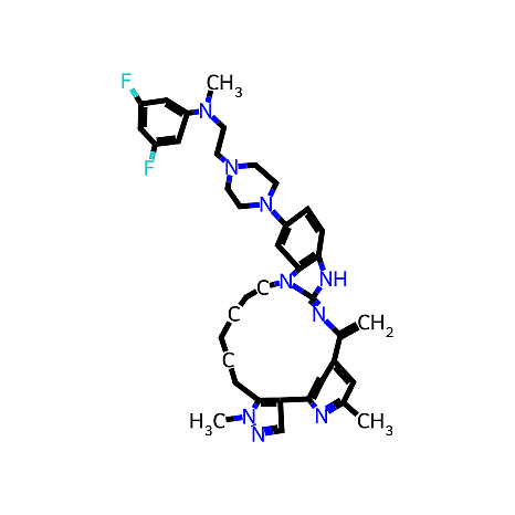 C=C1/N=C2\Nc3ccc(N4CCN(CCN(C)c5cc(F)cc(F)c5)CC4)cc3N2CCCCCCc2c(cnn2C)-c2cc1cc(C)n2